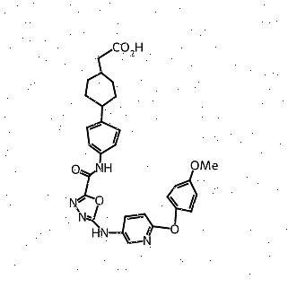 COc1ccc(Oc2ccc(Nc3nnc(C(=O)Nc4ccc(C5CCC(CC(=O)O)CC5)cc4)o3)cn2)cc1